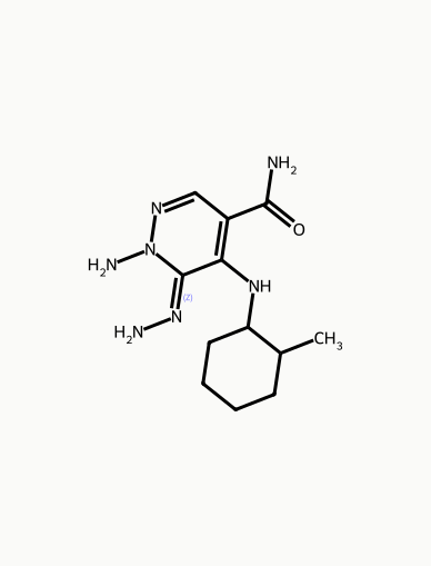 CC1CCCCC1Nc1c(C(N)=O)cnn(N)/c1=N\N